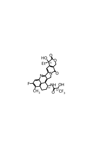 CC[C@@]1(O)C(=O)OCc2c1cc1n(c2=O)Cc2c-1nc1cc(F)c(C)c3c1c2[C@@H](NC(=O)[C@H](O)C(F)(F)F)CC3